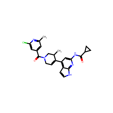 Cc1cc(C(=O)N2CC=C(c3cc(NC(=O)C4CC4)nc4[nH]ccc34)C(C)C2)cc(Cl)n1